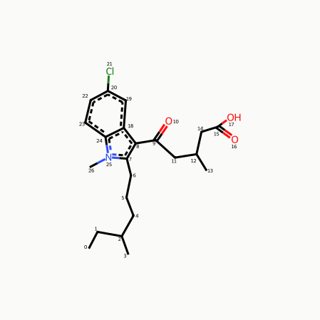 CCC(C)CCCc1c(C(=O)CC(C)CC(=O)O)c2cc(Cl)ccc2n1C